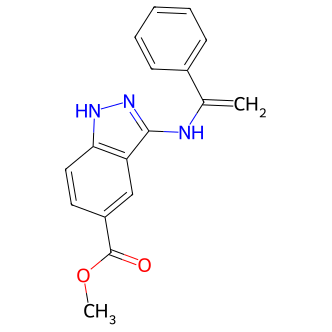 C=C(Nc1n[nH]c2ccc(C(=O)OC)cc12)c1ccccc1